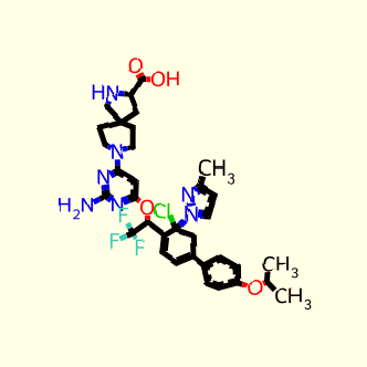 Cc1ccn(C2(Cl)CC(c3ccc(OC(C)C)cc3)=CC=C2C(Oc2cc(N3CCC4(CC3)CNC(C(=O)O)C4)nc(N)n2)C(F)(F)F)n1